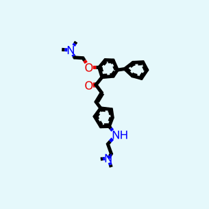 CN(C)CCNc1ccc(C=CC(=O)c2cc(-c3ccccc3)ccc2OCCN(C)C)cc1